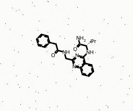 CC(C)[C@H](Nc1nc(CNC(=O)Cc2ccccc2)nc2ccccc12)C(N)=O